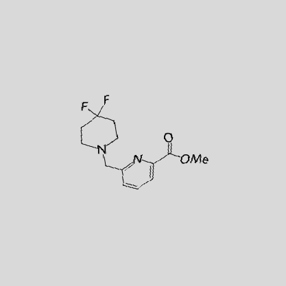 COC(=O)c1cccc(CN2CCC(F)(F)CC2)n1